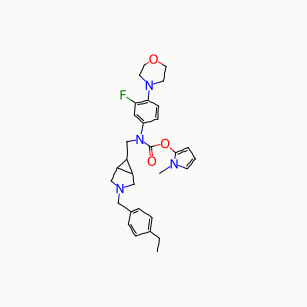 CCc1ccc(CN2CC3C(C2)C3CN(C(=O)Oc2cccn2C)c2ccc(N3CCOCC3)c(F)c2)cc1